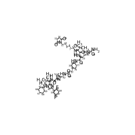 CC(C)[C@H](NC(=O)CCCCCN1C(=O)C=CC1=O)C(=O)N[C@@H](CCCNC(N)=O)C(=O)Nc1ccc(COC(=O)NCc2nc(C(=O)N[C@@H](c3nc(-c4cc(F)ccc4F)cn3Cc3ccccc3)C(C)(C)C)cs2)cc1